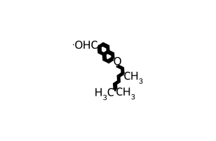 CC(C)=CCCC(C)CCOc1ccc2cc([C]=O)ccc2c1